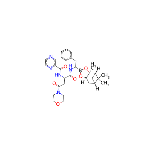 CC1(C)[C@@H]2C[C@H]3OB(C(Cc4ccccc4)NC(=O)C(CC(=O)N4CCOCC4)NC(=O)c4cnccn4)O[C@@]3(C)[C@H]1C2